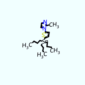 CCC[CH2][Sn]([CH2]CCC)([CH2]CCC)[c]1ccc(-n2ccnc2C)s1